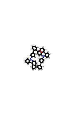 c1ccc(-c2ccc(N(c3ccc(-c4ccccc4-c4ccc(-n5c6ccccc6c6c7ccccc7ccc65)cc4)cc3)c3ccccc3-c3ccccc3)cc2)cc1